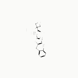 CC1(C(=O)Nc2ncc(Cc3ccccc3F)s2)COC1